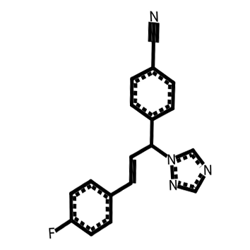 N#Cc1ccc(C(/C=C/c2ccc(F)cc2)n2cncn2)cc1